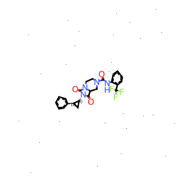 O=C(Nc1ccccc1C(F)(F)F)N1CCN2C(=O)N([C@@H]3C[C@H]3c3ccccc3)C(=O)C2C1